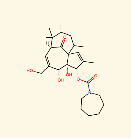 CC1=CC23C(=O)[C@@H](C=C(CO)[C@@H](O)[C@]2(O)[C@H]1OC(=O)N1CCCCCC1)C(C)(C)[C@H](C)CC3C